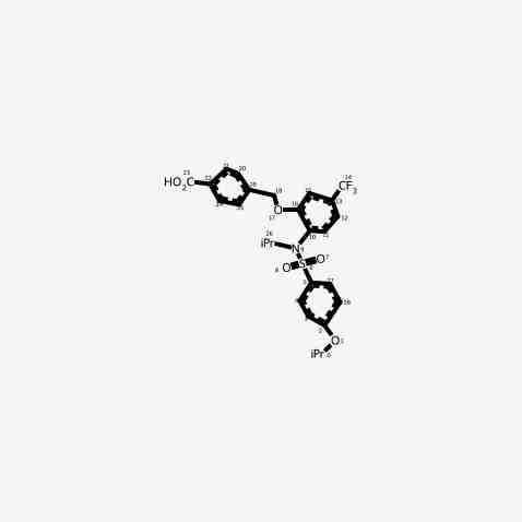 CC(C)Oc1ccc(S(=O)(=O)N(c2ccc(C(F)(F)F)cc2OCc2ccc(C(=O)O)cc2)C(C)C)cc1